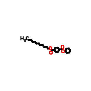 CCCCCCCCCCCCOC(=O)C1CCC(C(=O)OC2CCCCC2)CC1